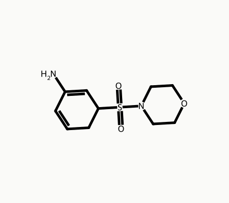 NC1=CC(S(=O)(=O)N2CCOCC2)CC=C1